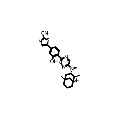 CN(c1cnc(-c2ccc(-c3cnc(C#N)s3)cc2O)nn1)[C@@H]1C[C@@]2(C)CCC[C@H](C2)[C@@H]1F